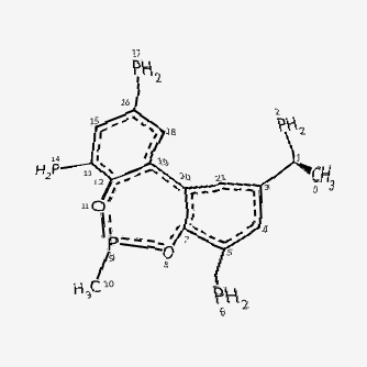 C[C@H](P)c1cc(P)c2op(C)oc3c(P)cc(P)cc3c2c1